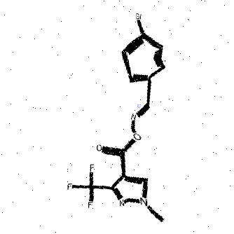 Cn1cc(C(=O)O/N=C/c2ccc(Br)cc2)c(C(F)(F)F)n1